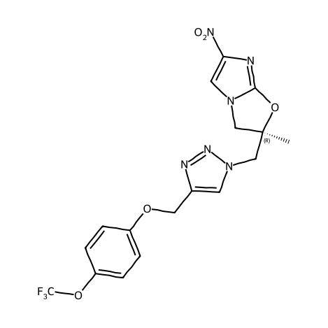 C[C@]1(Cn2cc(COc3ccc(OC(F)(F)F)cc3)nn2)Cn2cc([N+](=O)[O-])nc2O1